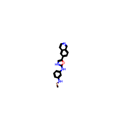 CSNc1cccc(NC2NC=C(c3ccc4cnccc4c3)O2)c1